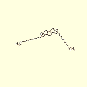 CCCCCCCCCCCc1cc2c(ccc3c2ccc2c4cc(CCCCCCCCCCC)oc4ccc23)o1